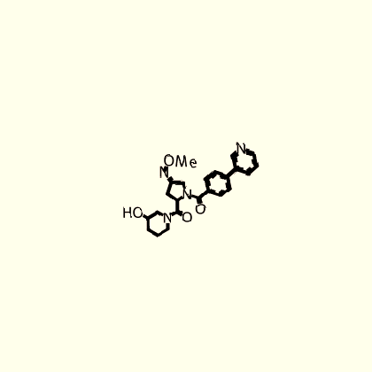 CON=C1CC(C(=O)N2CCCC(O)C2)N(C(=O)c2ccc(-c3cccnc3)cc2)C1